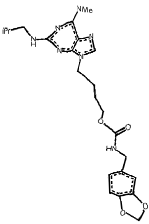 CNc1nc(NCC(C)C)nc2c1ncn2CCCCOC(=O)NCc1ccc2c(c1)OCO2